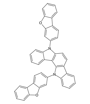 c1ccc2c(c1)oc1cc(-n3c4ccccc4c4c3ccc3c5ccccc5n(-c5ccc6c(c5)oc5ccccc56)c34)ccc12